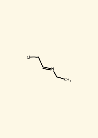 CCN=CCCl